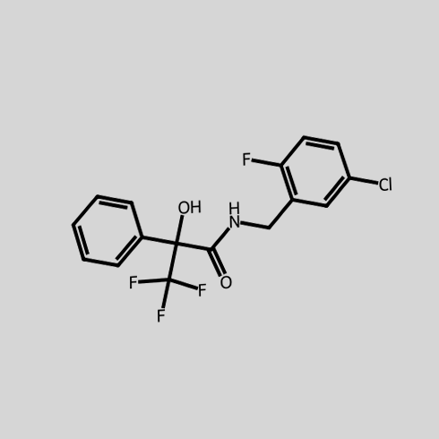 O=C(NCc1cc(Cl)ccc1F)C(O)(c1ccccc1)C(F)(F)F